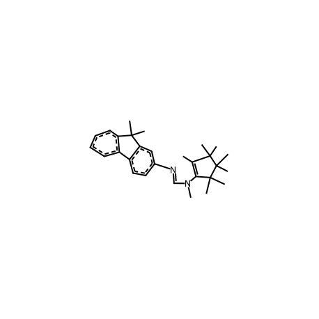 CC1=C(N(C)/C=N/c2ccc3c(c2)C(C)(C)c2ccccc2-3)C(C)(C)C(C)(C)C1(C)C